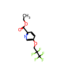 CCOC(=O)c1ccc(OCC(F)(F)C(F)(F)F)cn1